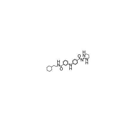 O=C(N=C1NCCCN1)c1ccc(Nc2cccc(C(=O)NCCC3CCCCC3)c2)cc1